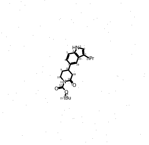 CC(C)c1c[nH]c2ccc(C3CCN(C(=O)OC(C)(C)C)C(=O)C3)cc12